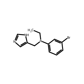 CCN(Cc1cnc[nH]1)c1cccc(Br)c1